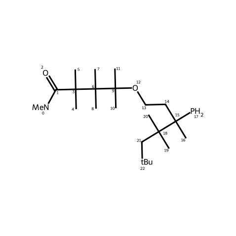 CNC(=O)C(C)(C)C(C)(C)C(C)(C)OCCC(C)(P)C(C)(C)CC(C)(C)C